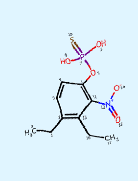 CCc1ccc(OP(O)(O)=S)c([N+](=O)[O-])c1CC